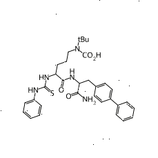 CC(C)(C)N(CCCC(NC(=S)Nc1ccccc1)C(=O)NC(Cc1ccc(-c2ccccc2)cc1)C(N)=O)C(=O)O